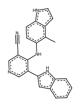 Cc1c(Nc2c(C#N)cncc2-c2cc3ccccc3[nH]2)ccc2[nH]ccc12